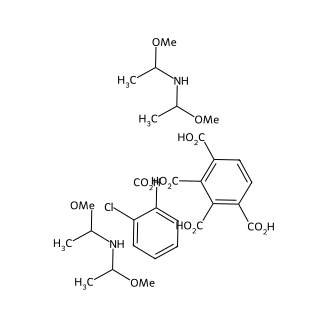 COC(C)NC(C)OC.COC(C)NC(C)OC.O=C(O)c1ccc(C(=O)O)c(C(=O)O)c1C(=O)O.O=C(O)c1ccccc1Cl